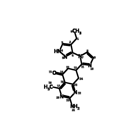 CCc1c[nH]nc1-n1ccnc1C1CC(=O)c2c(C)nc(N)nc2C1